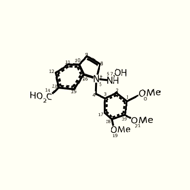 COc1cc(C[N+]2(NO)C=Cc3ccc(C(=O)O)cc32)cc(OC)c1OC